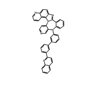 c1cc(-c2cccc(N3c4ccccc4-c4nc5ccc6ncccc6c5n4-c4ccncc43)c2)cc(-c2ccc3ccccc3n2)c1